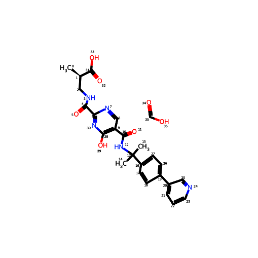 C[C@H](CNC(=O)c1ncc(C(=O)NC(C)(C)c2ccc(-c3cccnc3)cc2)c(O)n1)C(=O)O.O=CO